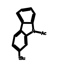 CC(=O)n1c2ccccc2c2ccc(C(C)(C)C)cc21